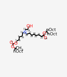 CCCCCCCCC(C)OC(=O)OCCCCCN(CCO)CCCCCCCC(=O)OC(CCCCCCCC)CCCCCCCC